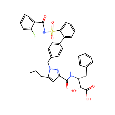 CCCc1cc(C(=O)N[C@H](Cc2ccccc2)[C@@H](O)C(=O)O)nn1Cc1ccc(-c2ccccc2S(=O)(=O)NC(=O)c2ccccc2F)cc1